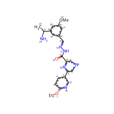 CCOc1ccc(-c2cncc(C(=O)N/N=C/c3cc(OC)cc(C(C)N)c3)n2)cn1